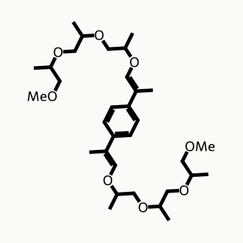 COCC(C)OCC(C)OCC(C)OC=C(C)c1ccc(C(C)=COC(C)COC(C)COC(C)COC)cc1